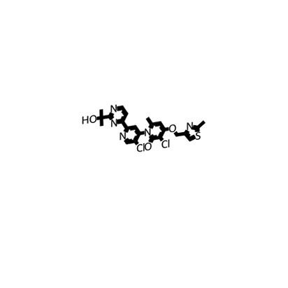 Cc1nc(COc2cc(C)n(-c3cc(-c4ccnc(C(C)(C)O)n4)ncc3Cl)c(=O)c2Cl)cs1